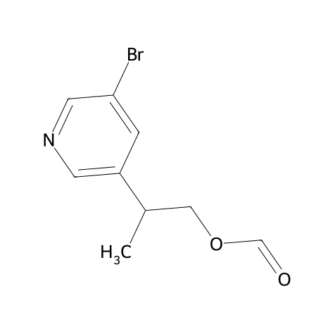 CC(COC=O)c1cncc(Br)c1